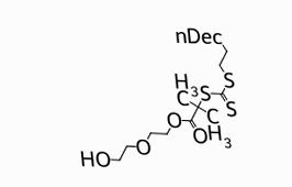 CCCCCCCCCCCCSC(=S)SC(C)(C)C(=O)OCCOCCO